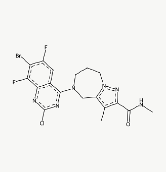 CNC(=O)c1nn2c(c1C)CN(c1nc(Cl)nc3c(F)c(Br)c(F)cc13)CCC2